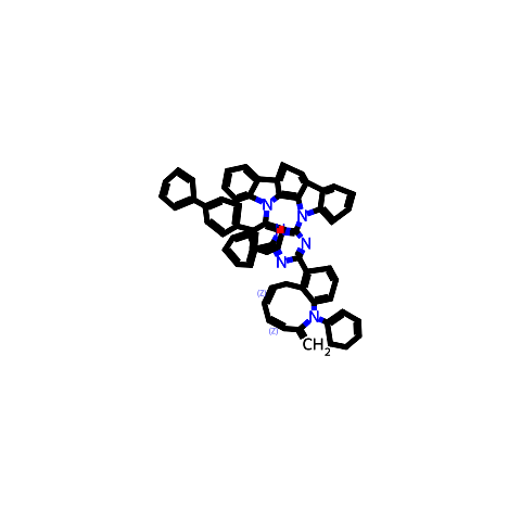 C=C1/C=C\C=C/Cc2c(-c3nc(-c4ccccc4)nc(-n4c5ccccc5c5ccc6c7ccccc7n(-c7ccccc7-c7ccc(-c8ccccc8)cc7)c6c54)n3)cccc2N1C1=CC=CCC1